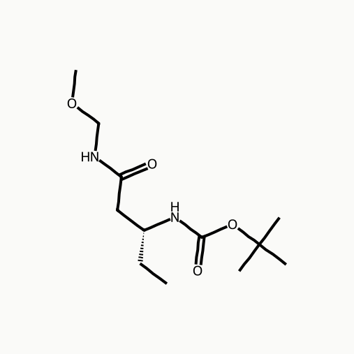 CC[C@H](CC(=O)NCOC)NC(=O)OC(C)(C)C